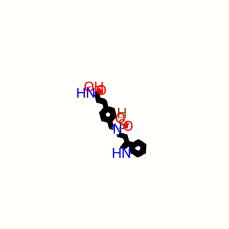 O=C(/C=C/c1ccc(CN(CCc2c[nH]c3ccccc23)[SH](=O)=O)cc1)NO